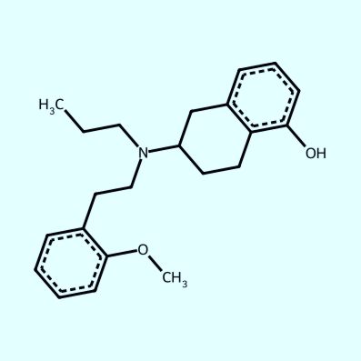 CCCN(CCc1ccccc1OC)C1CCc2c(O)cccc2C1